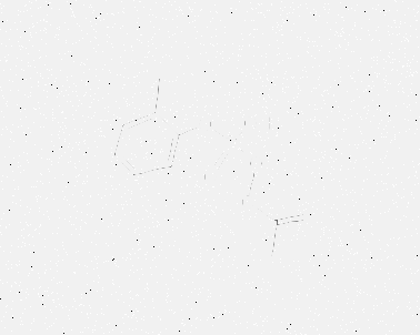 C=C(C)OOP(=O)(O)Oc1ccccc1C